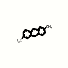 Cc1ccc2[c]c3cc(C)ccc3[c]c2c1